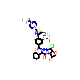 Cc1cc(C(=O)NC(C(=O)N2CC(Cl)C3OCC(=O)C32)C2CCCCC2)ccc1-c1nc(N2CCN(C)CC2)sc1C